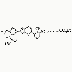 CCOC(=O)CCCCCOc1cccc(-c2ccc3nc(-c4ccc(C)c(NC(=O)C(C)(C)C)c4)cn3n2)c1C(F)(F)F